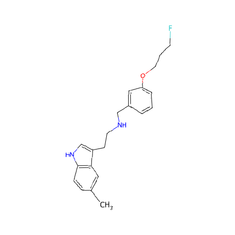 Cc1ccc2[nH]cc(CCNCc3cccc(OCCCF)c3)c2c1